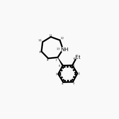 CCc1ccccc1[C@H]1CCCCCN1